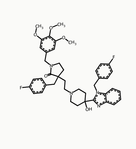 COc1cc(CN2CCC(CCN3CCC(O)(c4nc5ccccc5n4Cc4ccc(F)cc4)CC3)(Cc3ccc(F)cc3)C2=O)cc(OC)c1OC